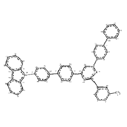 Cc1cccc(-c2nc(-c3ccc(-c4ccccc4)cc3)cc(-c3ccc(-c4ccc(-n5c6ccccc6c6ccccc65)cc4)cc3)n2)c1